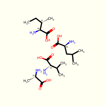 CC(C)C[C@H](N)C(=O)O.CC(C)[C@H](N)C(=O)O.CC[C@H](C)[C@H](N)C(=O)O.C[C@H](N)C(=O)O